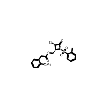 CC[C@H]1C(=O)N(S(=O)(=O)c2ccccc2C)[C@H]1COC(=O)Cc1ccccc1OC